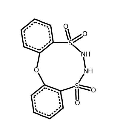 O=S1(=O)NNS(=O)(=O)c2ccccc2Oc2ccccc21